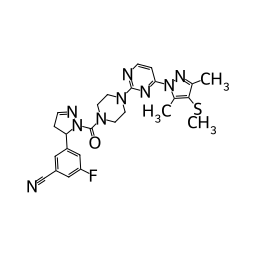 CSc1c(C)nn(-c2ccnc(N3CCN(C(=O)N4N=CCC4c4cc(F)cc(C#N)c4)CC3)n2)c1C